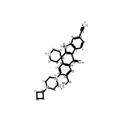 C#Cc1ccc2c3c([nH]c2c1)C1(CCOCC1)c1cc(N2CCN(C4CCC4)CC2)c(CC)cc1C3=O